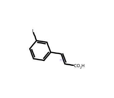 O=C(O)/C=C/c1cccc(I)c1